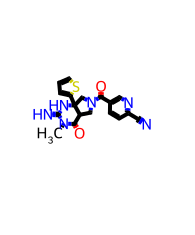 CN1C(=N)NC2(c3cccs3)CN(C(=O)c3ccc(C#N)nc3)CC2C1=O